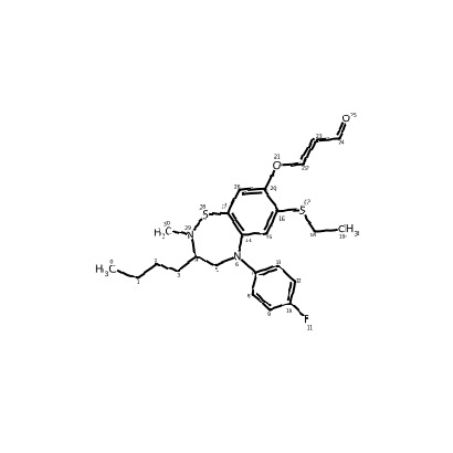 CCCCC1CN(c2ccc(F)cc2)c2cc(SCC)c(O/C=C/C=O)cc2SN1C